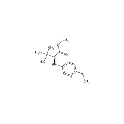 COC(=O)[C@@H](Nc1ccc(OC)nc1)C(C)(C)C